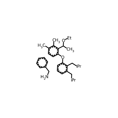 CCOC(C)c1c(Oc2cccc(CC(C)C)c2CC(C)C)ccc(C)c1C.NCc1ccccc1